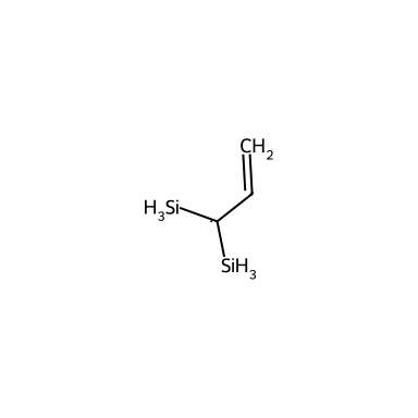 C=C[C]([SiH3])[SiH3]